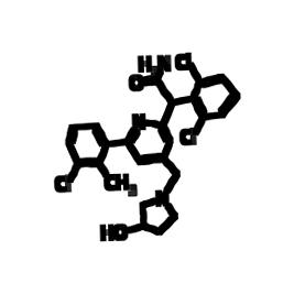 Cc1c(Cl)cccc1-c1cc(CN2CCC(O)C2)cc(C(C(N)=O)c2c(Cl)cccc2Cl)n1